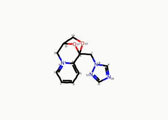 c1cc[n+]2c(c1)C1(Cn3cncn3)OCC(C2)O1